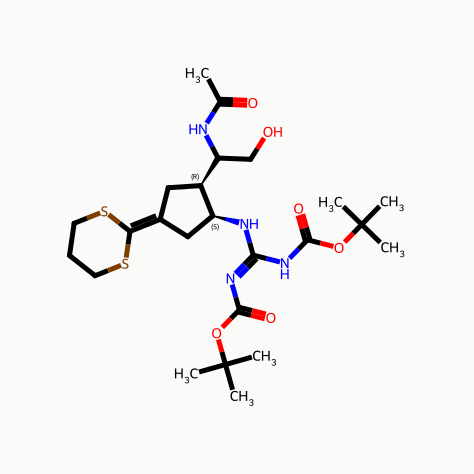 CC(=O)NC(CO)[C@@H]1CC(=C2SCCCS2)C[C@@H]1NC(=NC(=O)OC(C)(C)C)NC(=O)OC(C)(C)C